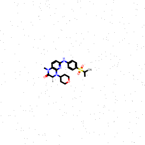 CC(C#N)S(=O)(=O)c1ccc(Nc2ccc3c(n2)N(C2CCOCC2)[C@H](C)C(=O)N3C)cc1